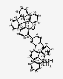 CCC/C=C\C(=C/Cc1cccc(P(C)(O)(c2ccccc2)c2ccccc2)c1)c1cccc2c1Oc1ccccc1C21C2=C(CCC=C2)c2ccccc21